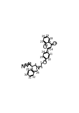 [N-]=[N+]=NCCN(CCOc1ccc(-c2cc(=O)c3ccccc3o2)cc1)Cc1ccccc1